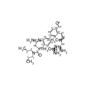 CCCN(CCC)C(=O)C1=Cc2ccc(-c3ccc(C=O)c(/C=N\N(C)CN(N)NN(C)N)c3)cc2N=C(N)C1